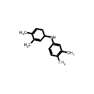 CC1=CCC(Nc2ccc(C)c(C)c2)C=C1C